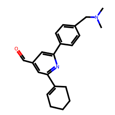 CN(C)Cc1ccc(-c2cc(C=O)cc(C3=CCCCC3)n2)cc1